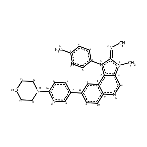 Cn1c(=NC#N)n(-c2ccc(C(F)(F)F)nc2)c2c3cc(-c4ccc(N5CCOCC5)nc4)ccc3ncc21